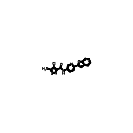 Nc1snc(C(=O)Nc2ccc(-c3cc4ccccc4o3)nc2)c1Cl